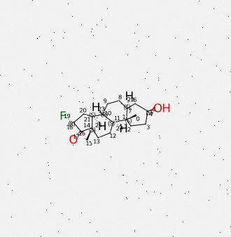 C[C@]12CC[C@H](O)C[C@@H]1CC[C@@H]1[C@@H]2CC[C@]2(C)C(=O)[C@H](F)C[C@@H]12